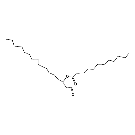 CCCCCCCCCCCCCC(CC=O)OC(=O)CCCCCCCCCCC